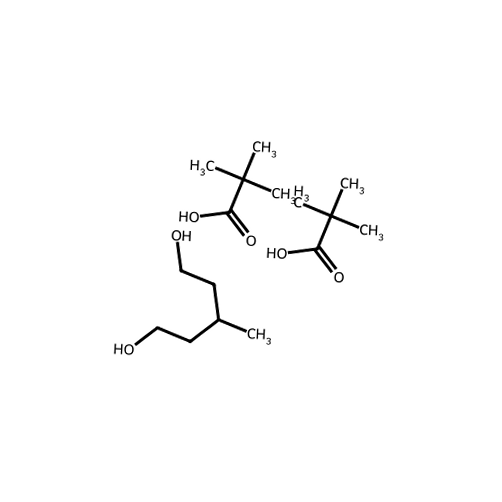 CC(C)(C)C(=O)O.CC(C)(C)C(=O)O.CC(CCO)CCO